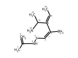 B/C(=C/SNC(=C)C)C(=CC)C(C)N